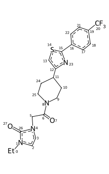 CCn1ccn(CC(=O)N2CCC(c3csc(-c4ccc(C(F)(F)F)cc4)n3)CC2)c1=O